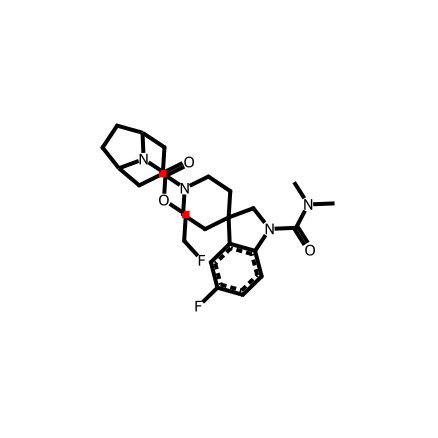 CN(C)C(=O)N1CC2(CCN(C3CC4CCC(C3)N4C(=O)OCCF)CC2)c2cc(F)ccc21